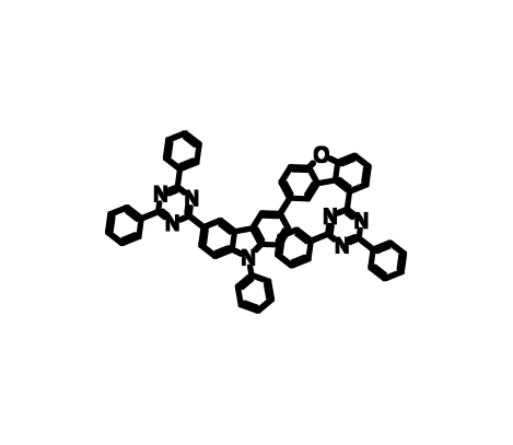 c1ccc(-c2nc(-c3ccccc3)nc(-c3ccc4c(c3)c3cc(-c5ccc6oc7cccc(-c8nc(-c9ccccc9)nc(-c9ccccc9)n8)c7c6c5)ccc3n4-c3ccccc3)n2)cc1